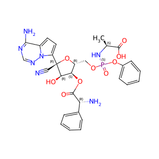 C[C@H](N[P@](=O)(OC[C@H]1O[C@@](C#N)(c2ccc3c(N)ncnn23)[C@H](O)[C@@H]1OC(=O)[C@H](N)c1ccccc1)Oc1ccccc1)C(=O)O